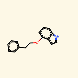 c1ccc(CCOc2cccc3[nH]ccc23)cc1